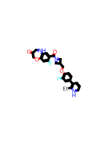 CCC1=C(c2ccc(OCC3CN(C(=O)c4cc5c(cc4F)OCC(=O)CN5)C3)c(F)c2)C=CCN1